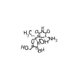 CCC[C@@]1(n2cc(N)c(=O)[nH]c2=O)O[C@H](CO)[C@@H](O)[C@H]1O